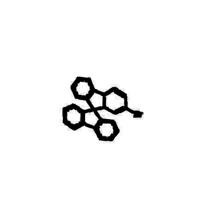 BrC1=CC2C(C=C1)c1ccccc1C21c2ccccc2-c2ccccc21